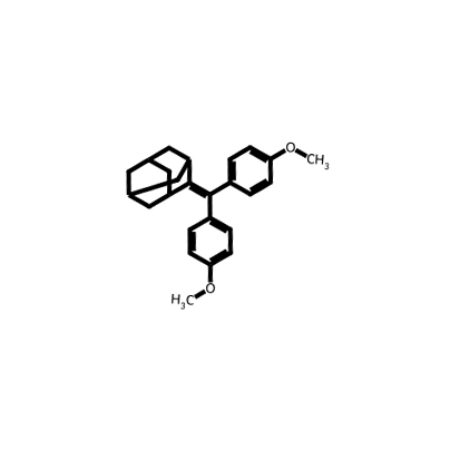 COc1ccc(C(=C2C3CC4CC(C3)CC2C4)c2ccc(OC)cc2)cc1